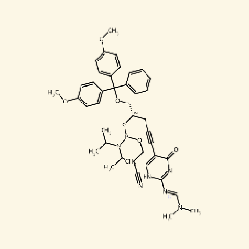 COc1ccc(C(OC[C@H](CC#Cc2c[nH]c(/N=C/N(C)C)nc2=O)OP(OCCC#N)N(C(C)C)C(C)C)(c2ccccc2)c2ccc(OC)cc2)cc1